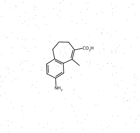 CC1=C(C(=O)O)CCCc2ccc(N)cc21